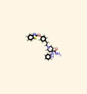 NC(=O)C1(Nc2ccccc2)CCN(CCc2ccc(Oc3nc4ccccc4s3)cc2)CC1